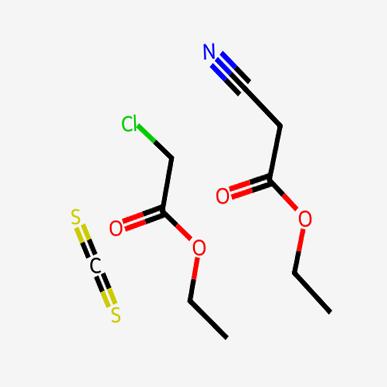 CCOC(=O)CC#N.CCOC(=O)CCl.S=C=S